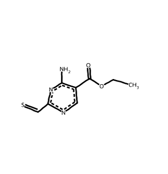 CCOC(=O)c1cnc(C=S)nc1N